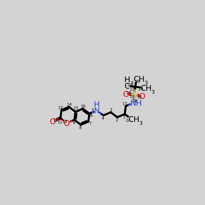 CC(CCCNc1ccc2oc(=O)ccc2c1)CNS(=O)(=O)C(C)(C)C